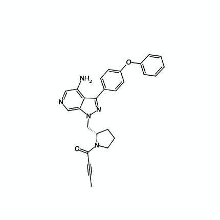 CC#CC(=O)N1CCC[C@H]1Cn1nc(-c2ccc(Oc3ccccc3)cc2)c2c(N)cncc21